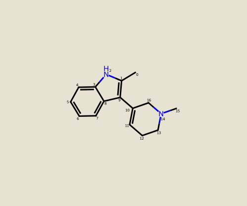 Cc1[nH]c2ccccc2c1C1=CCCN(C)C1